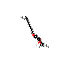 CCCCCCCCCCCCCCCCOc1ccc(-c2ccc(OC(=O)C3CC3(C)C)cc2)cc1